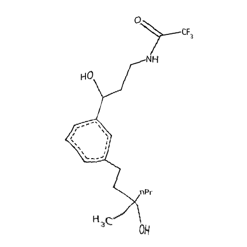 CCCC(C)(O)CCc1cccc(C(O)CCNC(=O)C(F)(F)F)c1